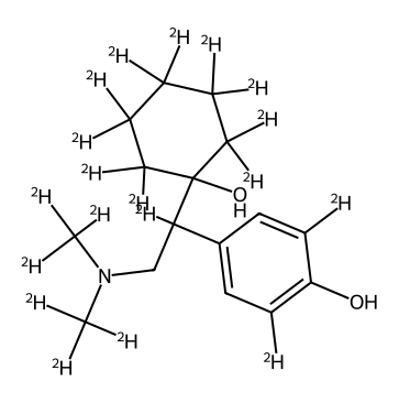 [2H]c1cc(C([2H])(CN(C([2H])([2H])[2H])C([2H])([2H])[2H])C2(O)C([2H])([2H])C([2H])([2H])C([2H])([2H])C([2H])([2H])C2([2H])[2H])cc([2H])c1O